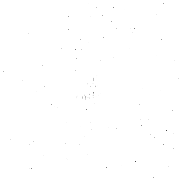 [Cu+2].[O-2].[O-2].[O-2].[Ti+4]